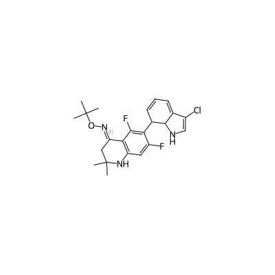 CC1(C)C/C(=N\OC(C)(C)C)c2c(cc(F)c(C3C=CC=C4C(Cl)=CNC43)c2F)N1